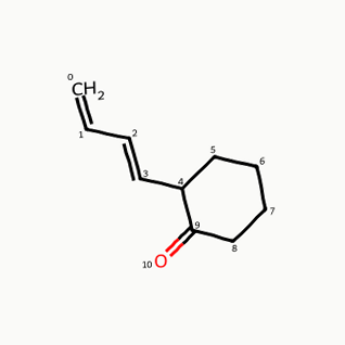 C=CC=CC1CCCCC1=O